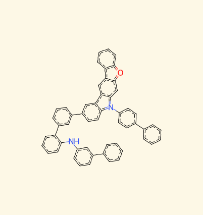 c1ccc(-c2ccc(-n3c4ccc(-c5cccc(-c6ccccc6Nc6cccc(-c7ccccc7)c6)c5)cc4c4cc5c(cc43)oc3ccccc35)cc2)cc1